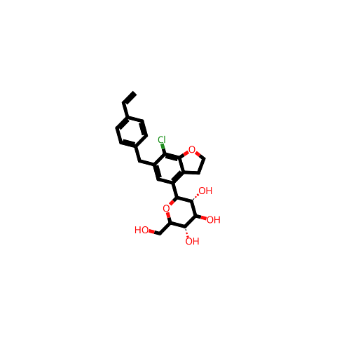 C=Cc1ccc(Cc2cc(C3OC(CO)[C@@H](O)C(O)[C@H]3O)c3c(c2Cl)OCC3)cc1